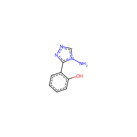 Nn1[c]nnc1-c1ccccc1O